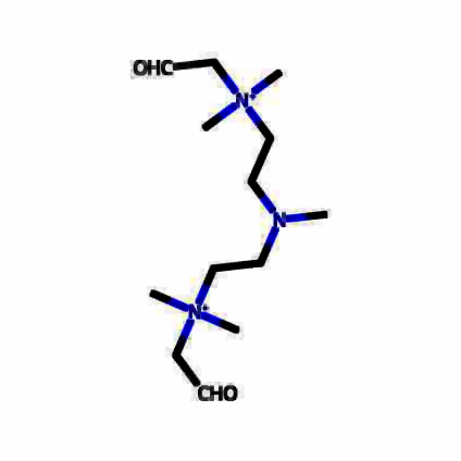 CN(CC[N+](C)(C)CC=O)CC[N+](C)(C)CC=O